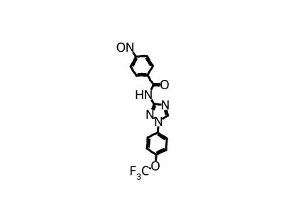 O=Nc1ccc(C(=O)Nc2ncn(-c3ccc(OC(F)(F)F)cc3)n2)cc1